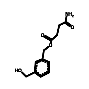 NC(=O)CCC(=O)OCc1cccc(CO)c1